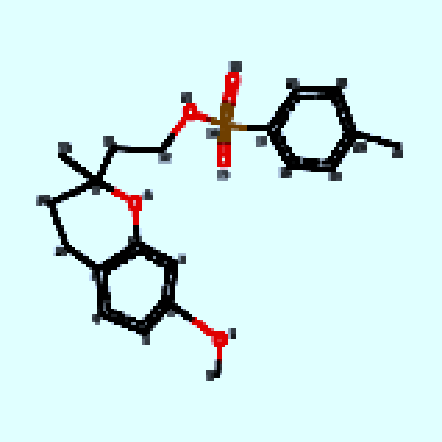 COc1ccc2c(c1)OC(C)(CCOS(=O)(=O)c1ccc(C)cc1)CC2